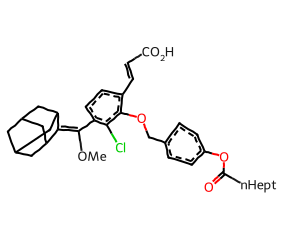 CCCCCCCC(=O)Oc1ccc(COc2c(/C=C/C(=O)O)ccc(C(OC)=C3C4CC5CC(C4)CC3C5)c2Cl)cc1